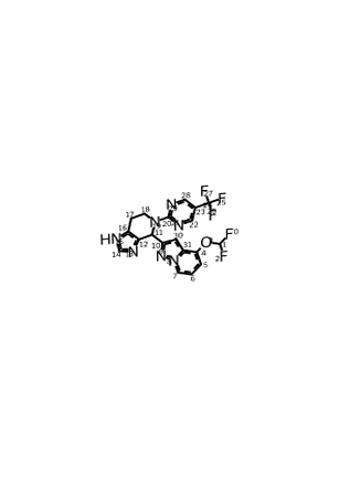 FC(F)Oc1cccn2nc(C3c4nc[nH]c4CCN3c3ncc(C(F)(F)F)cn3)cc12